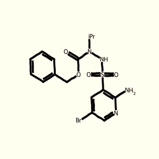 CC(C)N(NS(=O)(=O)c1cc(Br)cnc1N)C(=O)OCc1ccccc1